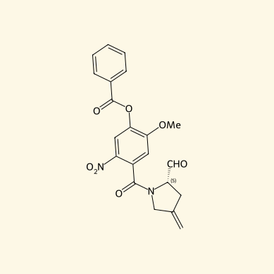 C=C1C[C@@H](C=O)N(C(=O)c2cc(OC)c(OC(=O)c3ccccc3)cc2[N+](=O)[O-])C1